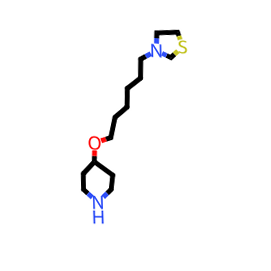 C(CCCN1CCSC1)CCOC1CCNCC1